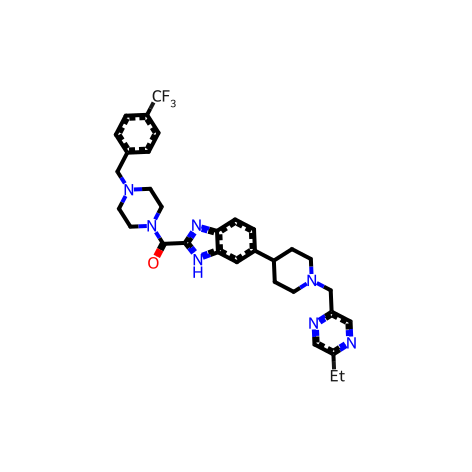 CCc1cnc(CN2CCC(c3ccc4nc(C(=O)N5CCN(Cc6ccc(C(F)(F)F)cc6)CC5)[nH]c4c3)CC2)cn1